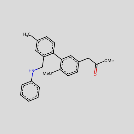 COC(=O)Cc1ccc(OC)c(-c2ccc(C)cc2CNc2ccccc2)c1